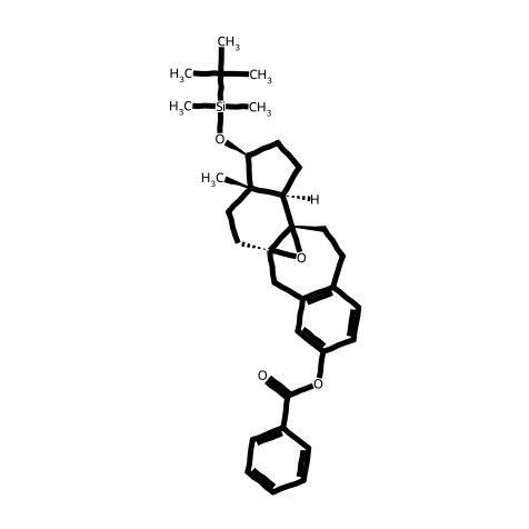 CC(C)(C)[Si](C)(C)O[C@H]1CC[C@@H]2[C@]1(C)CC[C@]13Cc4cc(OC(=O)c5ccccc5)ccc4CC[C@]21O3